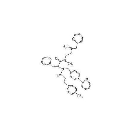 CN(CCN(C)C(=O)C(Cc1ccccc1)N(Cc1ccc(-c2ccccn2)cc1)C(=O)C=Cc1ccc(C(F)(F)F)cc1)Cc1ccccn1